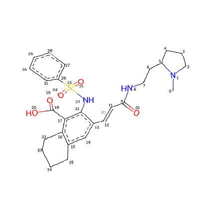 CN1CCCC1CCNC(=O)/C=C/c1cc2c(c(C(=O)O)c1NS(=O)(=O)c1ccccc1)CCCC2